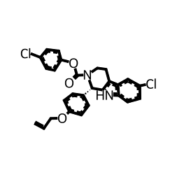 C=CCOc1ccc([C@H]2c3[nH]c4ccc(Cl)cc4c3CCN2C(=O)Oc2ccc(Cl)cc2)cc1